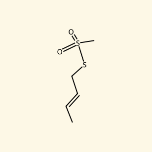 C/C=C/CSS(C)(=O)=O